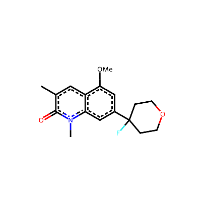 COc1cc(C2(F)CCOCC2)cc2c1cc(C)c(=O)n2C